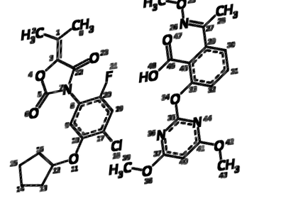 CC(C)=C1OC(=O)N(c2cc(OC3CCCC3)c(Cl)cc2F)C1=O.CON=C(C)c1cccc(Oc2nc(OC)cc(OC)n2)c1C(=O)O